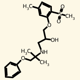 Cc1ccc(S(C)(=O)=O)c(OCC(O)CNC(C)(C)COc2ccccc2)c1